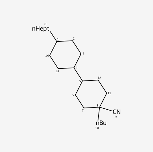 CCCCCCCC1CCC(C2CCC(C#N)(CCCC)CC2)CC1